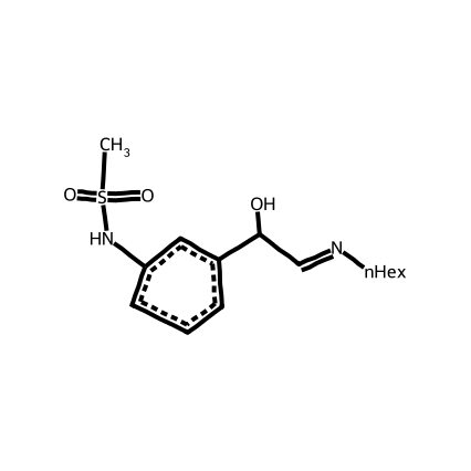 CCCCCCN=CC(O)c1cccc(NS(C)(=O)=O)c1